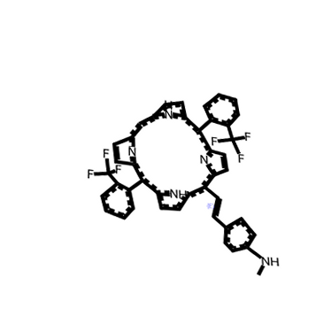 CNc1ccc(/C=C/c2c3nc(c(-c4ccccc4C(F)(F)F)c4ccc(cc5nc(c(-c6ccccc6C(F)(F)F)c6ccc2[nH]6)C=C5)[nH]4)C=C3)cc1